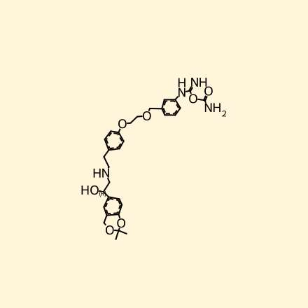 CC1(C)OCc2cc([C@@H](O)CNCCc3ccc(OCCOCc4cccc(NC(=N)OC(N)=O)c4)cc3)ccc2O1